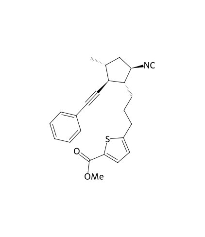 [C-]#[N+][C@@H]1C[C@@H](C)[C@H](C#Cc2ccccc2)[C@H]1CCCc1ccc(C(=O)OC)s1